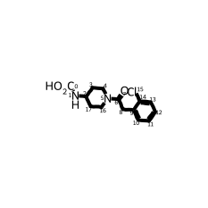 O=C(O)NC1CCN(C(=O)Cc2ccccc2Cl)CC1